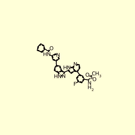 CS(=O)(=O)C(N)c1cc(F)cc(-c2ccnc3[nH]c(-c4n[nH]c5ccc(-c6cncc(NC(=O)c7ccccc7)c6)cc45)cc23)c1